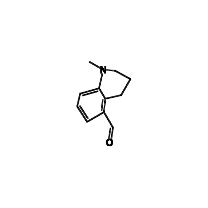 CN1CCCc2c(C=O)cccc21